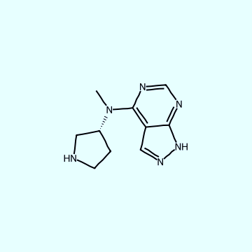 CN(c1ncnc2[nH]ncc12)[C@@H]1CCNC1